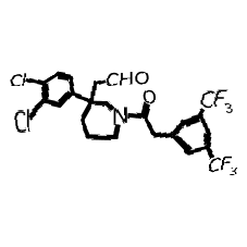 O=CCC1(c2ccc(Cl)c(Cl)c2)CCCN(C(=O)Cc2cc(C(F)(F)F)cc(C(F)(F)F)c2)C1